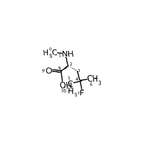 CN[C@H](CC(C)(C)F)C(=O)O